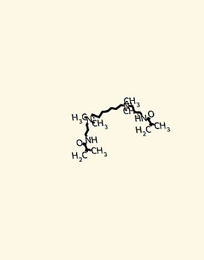 C=C(C)C(=O)NCCC[N+](C)(C)CCCCCCC[N+](C)(C)CCCNC(=O)C(=C)C